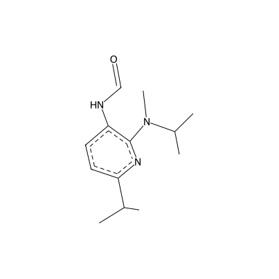 CC(C)c1ccc(NC=O)c(N(C)C(C)C)n1